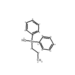 CC[CH2][Sn]([OH])([c]1ccccc1)[c]1ccccc1